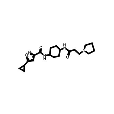 O=C(CCN1CCCC1)NC1CCC(NC(=O)c2cc(C3CC3)on2)CC1